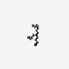 C=CC/C=C(C=C)/C=C/C=O